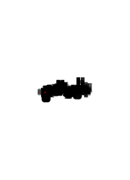 CN1CCN(c2ccn3c(-c4cccc(NC(=O)NCC(F)(F)F)c4)cnc3c2)CC1=O